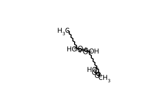 CCCCCCCCCC[C@@H](O)[C@H]1CC[C@H]([C@H]2CC[C@H]([C@H](O)CCCCCCCC[C@@H](O)CC3=C[C@H](C)OC3=O)O2)O1